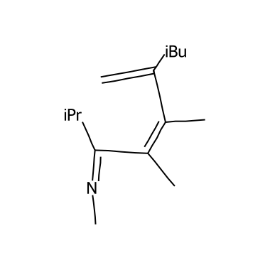 C=C(/C(C)=C(C)\C(=N/C)C(C)C)C(C)CC